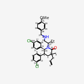 C=CC[C@]1(C)CC(c2cccc(Cl)c2)[C@@H](c2ccc(Cl)cc2)N(C(CC)CNCc2ccc(OC)cc2)C1=O